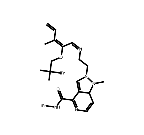 C=C/C(C)=C(\C=N/CCN1C=C2C(C(=O)NC(C)C)=NC=CC2N1C)OCC(C)(F)C(C)C